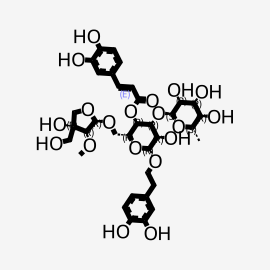 CO[C@H]1[C@H](OC[C@H]2O[C@@H](OCCc3ccc(O)c(O)c3)[C@H](O)[C@@H](O[C@@H]3O[C@@H](C)[C@H](O)[C@@H](O)[C@H]3O)[C@@H]2OC(=O)/C=C/c2ccc(O)c(O)c2)OC[C@]1(O)CO